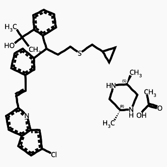 CC(=O)O.CC(C)(O)c1ccccc1C(CCSCC1CC1)c1cccc(C=Cc2ccc3ccc(Cl)cc3n2)c1.C[C@@H]1CN[C@@H](C)CN1